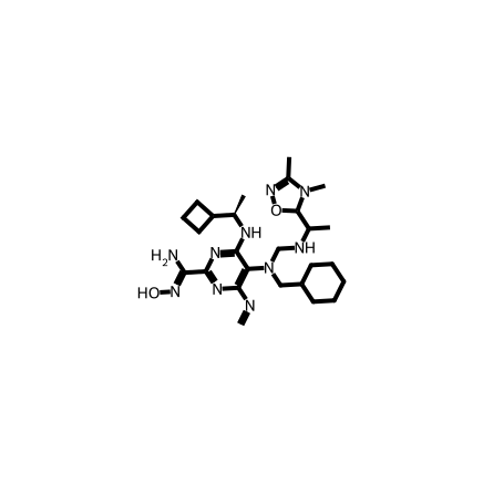 C=Nc1nc(/C(N)=N/O)nc(N[C@H](C)C2CCC2)c1N(CNC(C)C1ON=C(C)N1C)CC1CCCCC1